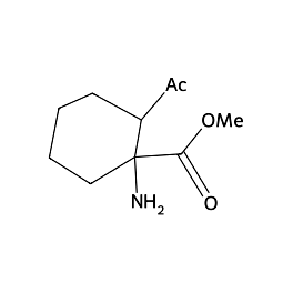 COC(=O)C1(N)CCCCC1C(C)=O